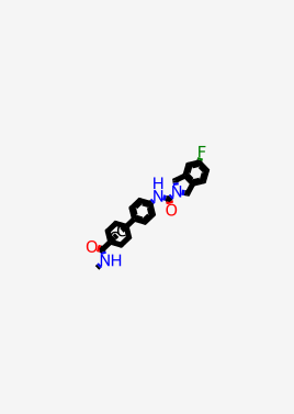 CNC(=O)C12CCC(c3ccc(NC(=O)N4Cc5ccc(F)cc5C4)cc3)(CC1)CC2